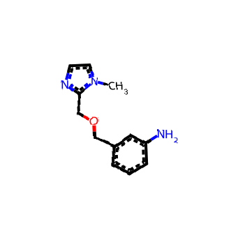 Cn1ccnc1COCc1cccc(N)c1